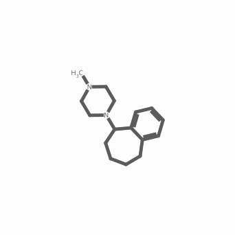 CN1CCN(C2CCCCc3ccccc32)CC1